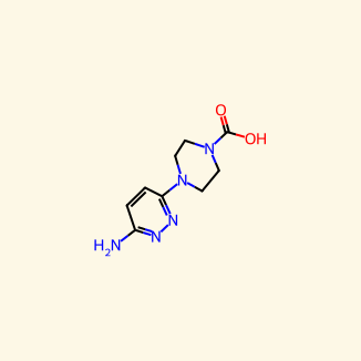 Nc1ccc(N2CCN(C(=O)O)CC2)nn1